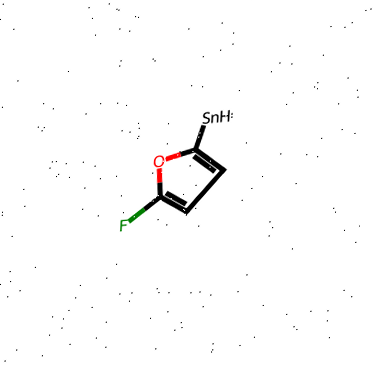 Fc1cc[c]([SnH])o1